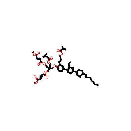 C=C(C)C(=O)OCCCc1cc(-c2ccc(C3CCC(CCCCCCC)CC3)cc2CC)ccc1OCC(COC(=O)/C=C/C(=O)OC)(COC(=O)/C=C/C(=O)OC)COC(=O)C(=C)C